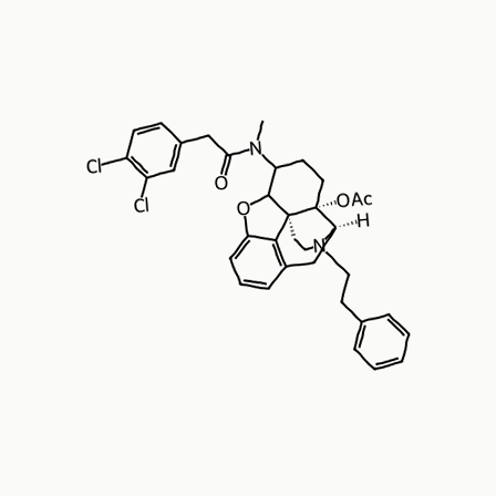 CC(=O)O[C@@]12CCC(N(C)C(=O)Cc3ccc(Cl)c(Cl)c3)C3Oc4cccc5c4[C@@]31CCN(CCc1ccccc1)[C@@H]2C5